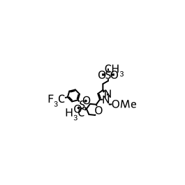 COCn1nc(CCS(C)(=O)=O)cc1C1CC(C)(S(=O)(=O)c2cccc(C(F)(F)F)c2)CCO1